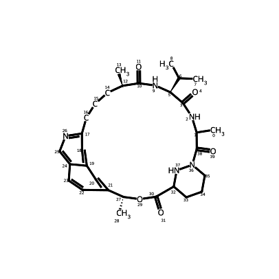 CC1NC(=O)[C@H](C(C)C)NC(=O)[C@H](C)CCCc2cc3cc(ccc3cn2)[C@@H](C)OC(=O)C2CCCN(N2)C1=O